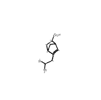 CCC(CC)CC1=CC2CC1CC2C(=O)O